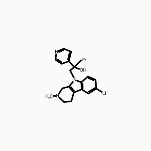 CC(C)C(O)(Cn1c2c(c3cc(Cl)ccc31)CCN(C)C2)c1ccncc1